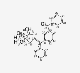 CC12CC(=C(c3ccccc3)c3cccc(C(=O)c4ccccc4)c3)C(CC1=O)C2(C)C